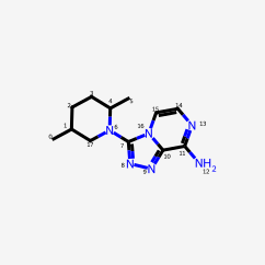 CC1CCC(C)N(c2nnc3c(N)nccn23)C1